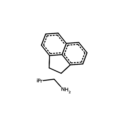 CC(C)CN.c1cc2c3c(cccc3c1)CC2